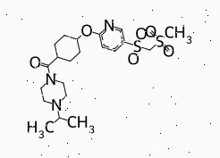 CC(C)N1CCN(C(=O)C2CCC(Oc3ccc(S(=O)(=O)CS(C)(=O)=O)cn3)CC2)CC1